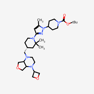 Cc1cc(N2CC[C@@H](CN3CCN(C4COC4)C4COCC43)CC2(C)C)nn1C1CCN(C(=O)OC(C)(C)C)CC1